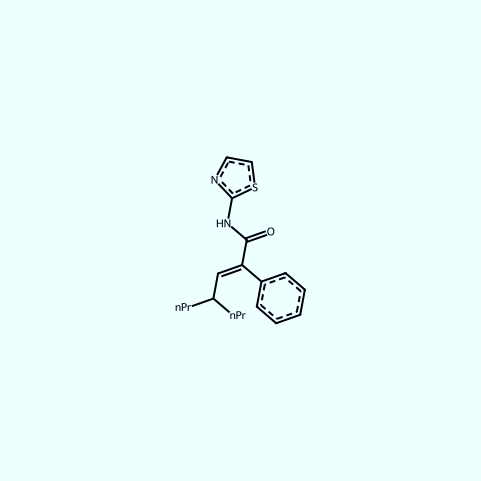 CCCC(/C=C(/C(=O)Nc1nccs1)c1ccccc1)CCC